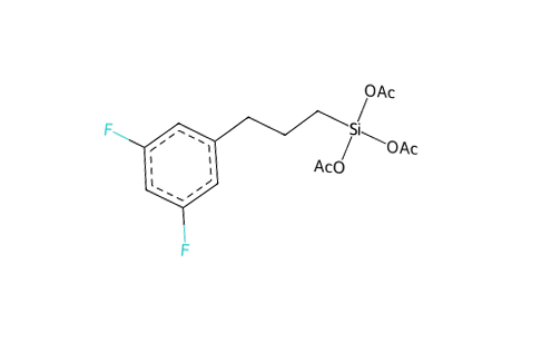 CC(=O)O[Si](CCCc1cc(F)cc(F)c1)(OC(C)=O)OC(C)=O